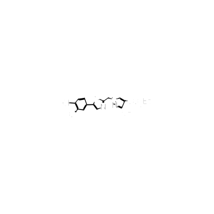 CCOC(=O)c1cn(Cc2ncc(-c3ccc(Cl)c(Cl)c3)s2)nc1C(F)(F)F